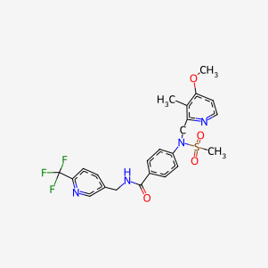 COc1ccnc(CN(c2ccc(C(=O)NCc3ccc(C(F)(F)F)nc3)cc2)S(C)(=O)=O)c1C